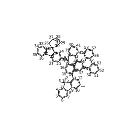 CC1(C)c2ccccc2-c2cccc(-c3ccc(N(c4ccc5c(c4)C4(CC6CCC4C6)c4ccccc4-5)c4ccccc4-c4cccc(-c5ccccc5-c5ccccc5)c4)cc3)c21